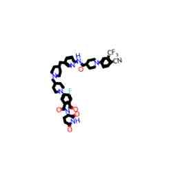 N#Cc1ccc(N2CCC(C(=O)Nc3ccc(CC4CCN(CC5CCN(c6cc7c(cc6F)C(=O)N(C6CCC(=O)NC6=O)C7=O)CC5)CC4)cn3)CC2)cc1C(F)(F)F